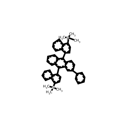 C[Si](C)(C)c1ccc(-c2c3ccccc3c(-c3ccc([Si](C)(C)C)c4ccccc34)c3cc(-c4ccccc4)ccc23)c2ccccc12